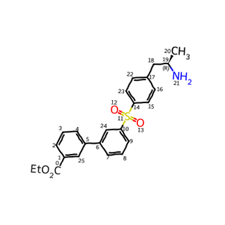 CCOC(=O)c1cccc(-c2cccc(S(=O)(=O)c3ccc(C[C@@H](C)N)cc3)c2)c1